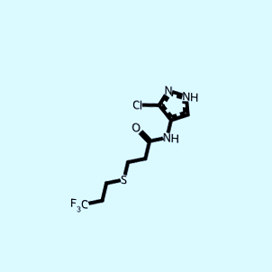 O=C(CCSCCC(F)(F)F)Nc1c[nH]nc1Cl